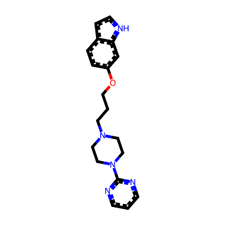 c1cnc(N2CCN(CCCOc3ccc4cc[nH]c4c3)CC2)nc1